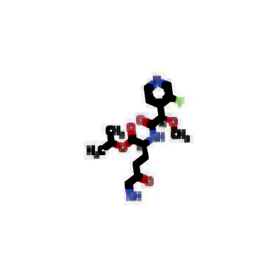 CO[C@@H](C(=O)N[C@@H](CCC(=O)C=N)C(=O)OC(C)C)c1ccncc1F